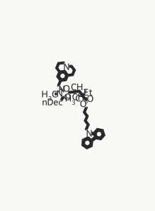 CCCCCCCCCCC(OC(=O)C(C)(C)CC(C)(CC)C(=O)OCCCCCCn1c2ccccc2c2ccccc21)N(C)/N=C/c1cc2c3c(c1)CCCN3CCC2